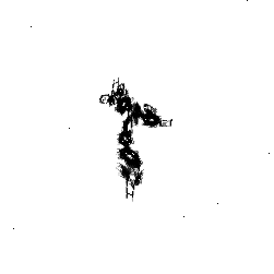 O=C1CN(c2ccc(-n3cc(-c4ccc(Cl)cc4Cl)nc3Cc3ccc(-c4ccc(N5CCNCC5)cc4)cc3)cc2)S(=O)(=O)N1